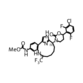 COC(=O)Nc1ccc2c(c1)N[C@H](C(F)(F)F)CCCC[C@H](N1CCC(c3c(F)ccc(Cl)c3F)OC1=O)c1nc-2c[nH]1